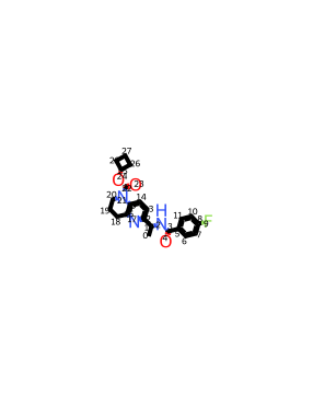 CC(NC(=O)c1ccc(F)cc1)c1ccc2c(n1)CCCN2C(=O)OC1CCC1